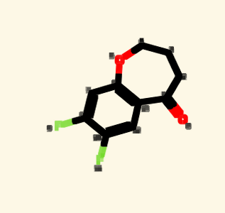 O=C1CCCOc2cc(F)c(F)cc21